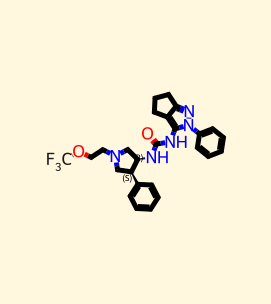 O=C(Nc1c2c(nn1-c1ccccc1)CCC2)N[C@H]1CN(CCOC(F)(F)F)C[C@@H]1c1ccccc1